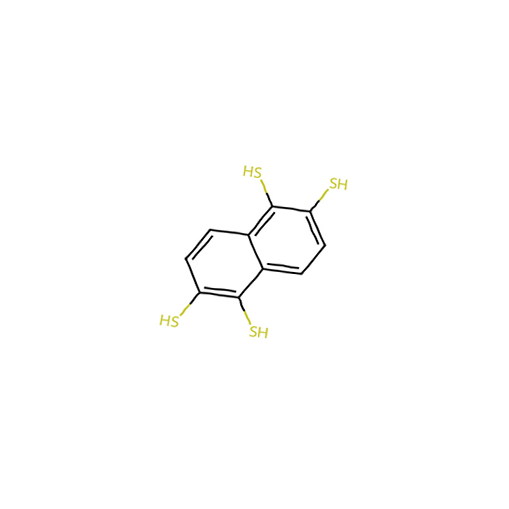 Sc1ccc2c(S)c(S)ccc2c1S